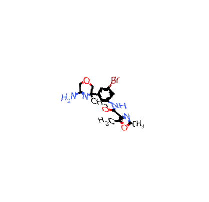 Cc1nc(C(=O)Nc2cc(Br)cc(C3(C)COCC(N)=N3)c2)c(C)o1